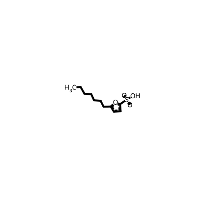 CCCCCCCc1ccc(S(=O)(=O)O)o1